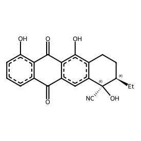 CC[C@@H]1CCc2c(cc3c(c2O)C(=O)c2c(O)cccc2C3=O)[C@@]1(O)C#N